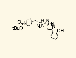 CC(C)(C)OC(=O)N1CCC(Cc2cn(-c3cc(-c4ccccc4O)nnc3N)cn2)CC1